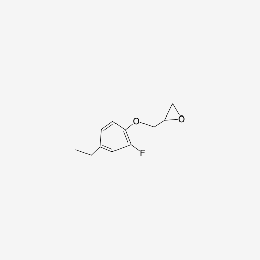 CCc1ccc(OCC2CO2)c(F)c1